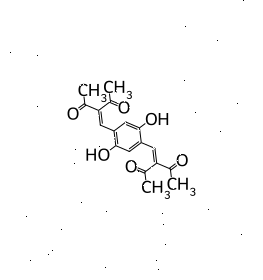 CC(=O)C(=Cc1cc(O)c(C=C(C(C)=O)C(C)=O)cc1O)C(C)=O